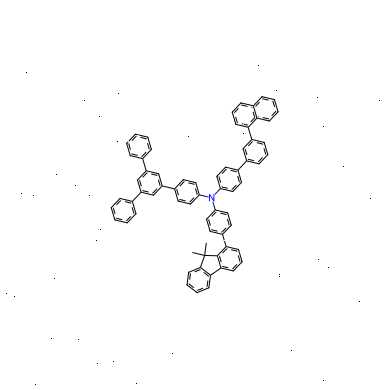 CC1(C)c2ccccc2-c2cccc(-c3ccc(N(c4ccc(-c5cc(-c6ccccc6)cc(-c6ccccc6)c5)cc4)c4ccc(-c5cccc(-c6cccc7ccccc67)c5)cc4)cc3)c21